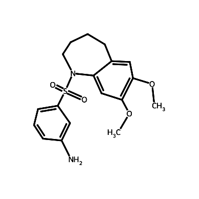 COc1cc2c(cc1OC)N(S(=O)(=O)c1cccc(N)c1)CCCC2